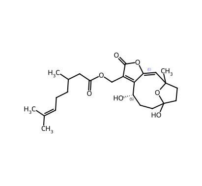 CC(C)=CCCC(C)CC(=O)OCC1=C2/C(=C\C3(C)CCC(O)(CC[C@@H]2O)O3)OC1=O